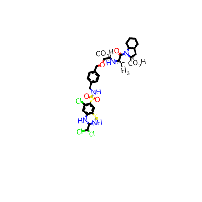 C[C@H](N[C@@H](COCc1ccc(CNS(=O)(=O)c2cc3c(cc2Cl)NC(C(Cl)Cl)NS3)cc1)C(=O)O)C(=O)N1C2CCCCC2C[C@H]1C(=O)O